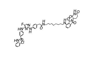 O=C(Cc1ccc(Nc2ncc(F)c(Nc3ccc(C(=O)Nc4ccccc4Cl)cc3)n2)cc1)NCCCCCCCCCNc1cccc2c1C(=O)N(C1CCC(=O)NC1=O)C2=O